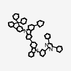 c1ccc(-c2ccc3c(c2)c2cc(-c4ccc5c(c4)c4ccccc4n5-c4cccc(-c5nc(-c6ccccc6)cc(-c6ccccc6)n5)c4)ccc2n3-c2ccc3c(c2)C(c2ccccc2)(c2ccccc2)c2ccccc2-3)cc1